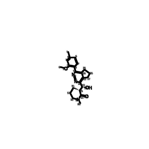 COc1cc(C)ccc1-c1nnc([C@H](O)[C@H]2CCCN(C)C2=O)c2c1CCC2